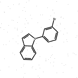 Brc1cccc(-n2ccc3cc[c]cc32)c1